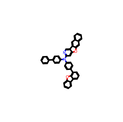 c1ccc(-c2ccc(N(c3ccc(-c4cccc5c4oc4ccccc45)cc3)c3cc4oc5cc6ccccc6cc5c4cn3)cc2)cc1